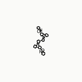 c1cc(-c2cccc(-n3c4ccccc4c4cc(-c5nc6ccccc6o5)ccc43)c2)cc(-n2c3ccccc3c3cc(-c4nc5ccccc5o4)ccc32)c1